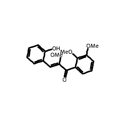 COC(=Cc1ccccc1O)C(=O)c1cccc(OC)c1OC